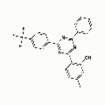 Cc1ccc(-c2nc(-c3ccccc3)nc(-c3ccc(C(F)(F)F)cc3)n2)c(O)c1